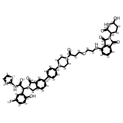 O=C(Nc1nccs1)C(c1cc(F)ccc1O)N1Cc2ccc(-c3ccc(N4CCN(C(=O)CCOCCNc5cccc6c5C(=O)N(C5CCC(O)NC5=O)C6=O)CC4)cc3)cc2C1=O